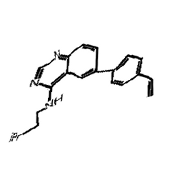 C=Cc1ccc(-c2ccc3ncnc(NCCC(C)C)c3c2)cc1